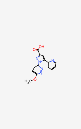 COC1=CCC(n2nc(C(=O)O)cc2-c2ccccn2)N=N1